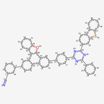 N#Cc1cccc(-c2ccc3c4ccc(-c5ccc(-c6nc(-c7ccccc7)nc(-c7ccc8c(c7)sc7ccccc78)n6)cc5)cc4c4oc5ccccc5c4c3c2)c1